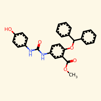 COC(=O)c1cc(NC(=O)Nc2ccc(O)cc2)ccc1OC(c1ccccc1)c1ccccc1